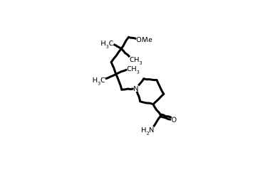 COCC(C)(C)CC(C)(C)CN1CCCC(C(N)=O)C1